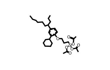 CCCCCCC(CCC)c1ccc(OCCC[Si](OC(C)=O)(OC(C)=O)OC(C)=O)c(C2CCCCC2)c1